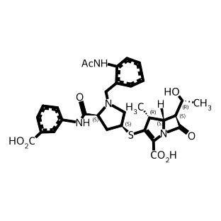 CC(=O)Nc1ccccc1CN1C[C@@H](SC2=C(C(=O)O)N3C(=O)[C@H]([C@@H](C)O)[C@H]3[C@H]2C)C[C@H]1C(=O)Nc1cccc(C(=O)O)c1